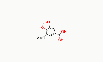 COc1cc(B(O)O)cc2c1OCO2